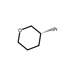 [CH2]CC[C@@H]1CCCOC1